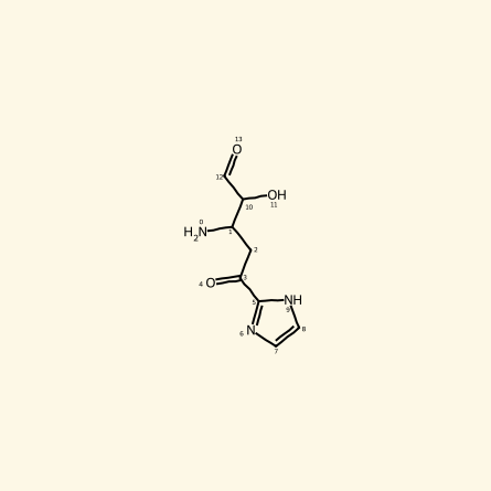 NC(CC(=O)c1ncc[nH]1)C(O)C=O